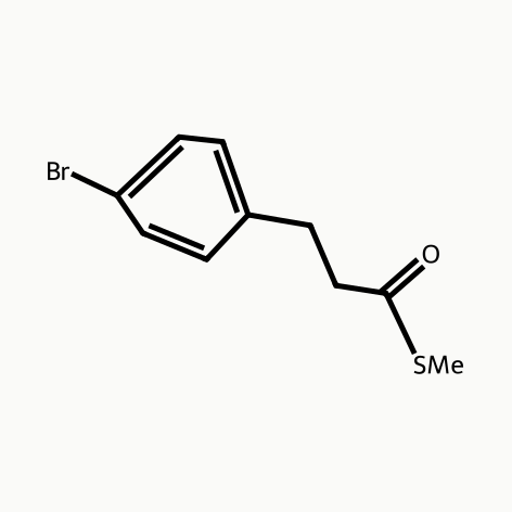 CSC(=O)CCc1ccc(Br)cc1